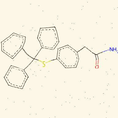 NC(=O)Cc1ccc(SC(c2ccccc2)(c2ccccc2)c2ccccc2)cc1